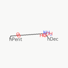 CCCCC/C=C\C/C=C\CCCCCCCC(=O)OCCCCCCCCCCCCCCCCCCCCCCCCCCCCCC(=O)N(N)C(CO)C(O)/C=C/CCCCCCCCCCCCC